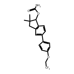 CC1(C)Cc2cc(-c3ccc(OCC(F)(F)F)cc3)ccc2C1OC(N)=O